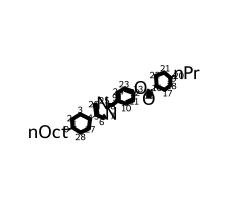 CCCCCCCC[C@H]1CC[C@H](c2cnc(-c3ccc(OC(=O)[C@H]4CC[C@H](CCC)CC4)cc3)nc2)CC1